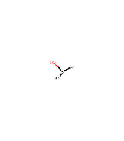 CC(C)[Si](O)C(C)C